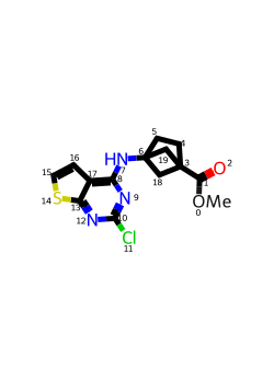 COC(=O)C12CCC(Nc3nc(Cl)nc4sccc34)(C1)C2